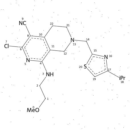 COCCNc1nc(Cl)c(C#N)c2c1CN(Cc1nc(C(C)C)cs1)CC2